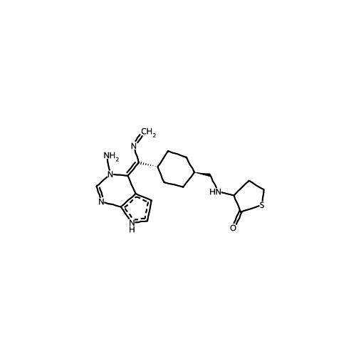 C=N/C(=C1/c2cc[nH]c2N=CN1N)[C@H]1CC[C@H](CNC2CCSC2=O)CC1